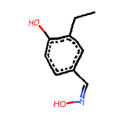 CCc1cc(/C=N\O)ccc1O